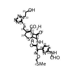 CSCO/N=C(/C(=O)NC1C(=O)N2C(C(=O)O)=C(CSc3nnnn3CCO)CS[C@H]12)c1csc(NC=O)n1